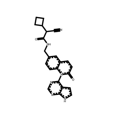 N#CC(C(=O)NCc1ccc2c(ccc(=O)n2-c2ncnc3[nH]ccc23)c1)C1CCC1